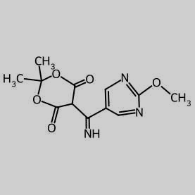 COc1ncc(C(=N)C2C(=O)OC(C)(C)OC2=O)cn1